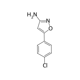 Nc1cc(-c2ccc(Cl)cc2)on1